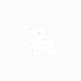 CCCCNC(=O)C(C)(C)[C]=O